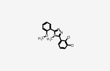 COc1ccccc1-c1nnc(-c2cccc(Cl)c2Cl)n1C